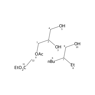 CC(=O)OCC(O)CO.CCCCC(CC)CO.CCOC(C)=O